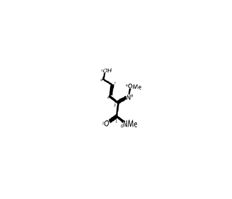 CNC(=O)C(C=CCO)=NOC